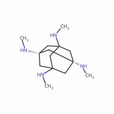 CNC12CC3(NC)C[C@](NC)(C1)C[C@](NC)(C2)C3